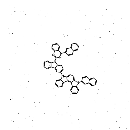 c1ccc2cc(-c3nc(-n4c5ccccc5c5cc(-n6c7ccccc7c7c8c9ccccc9n(-c9ccc%10ccccc%10c9)c8ccc76)ccc54)nc4ccccc34)ccc2c1